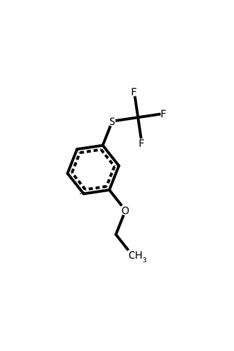 CCOc1[c]ccc(SC(F)(F)F)c1